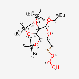 CCC(C)COC1OC(CSOOO)C(O[Si](C)(C)C(C)(C)C)C(O[Si](C)(C)C(C)(C)C)C1O[Si](C)(C)C(C)(C)C